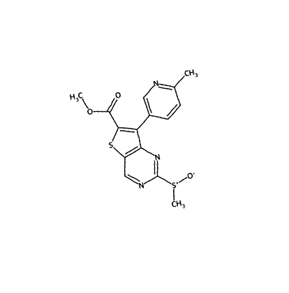 COC(=O)c1sc2cnc([S+](C)[O-])nc2c1-c1ccc(C)nc1